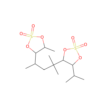 CC(C)C1OS(=O)(=O)OC1C(C)(C)CC(C)C1OS(=O)(=O)OC1C